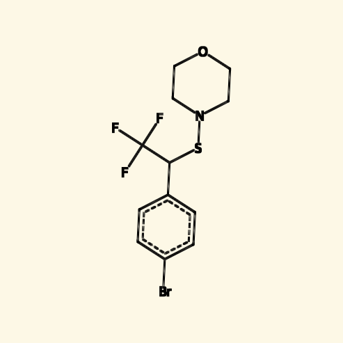 FC(F)(F)C(SN1CCOCC1)c1ccc(Br)cc1